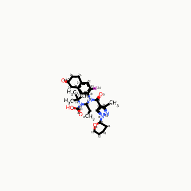 CCC(N(C(=O)c1cn(C2CCCCO2)nc1C)c1cc2c(cc1I)CCC(=O)C2)N(C(=O)O)C(C)(C)C